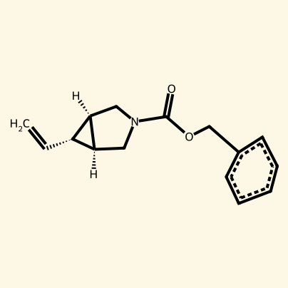 C=C[C@@H]1[C@H]2CN(C(=O)OCc3ccccc3)C[C@@H]12